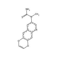 CN(C(N)=S)c1cnc2cc3c(cc2c1)OC=CO3